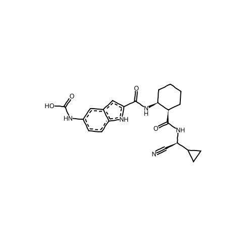 N#C[C@@H](NC(=O)[C@@H]1CCCC[C@@H]1NC(=O)c1cc2cc(NC(=O)O)ccc2[nH]1)C1CC1